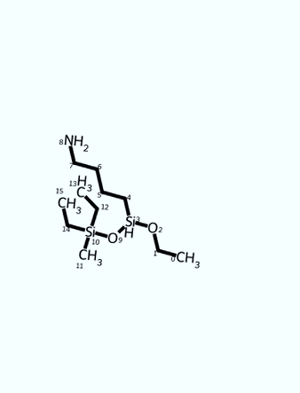 CCO[SiH](CCCCN)O[Si](C)(CC)CC